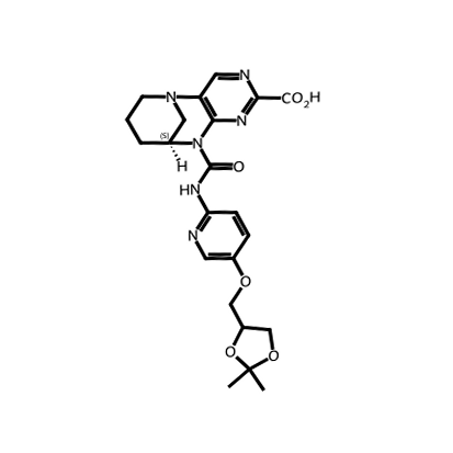 CC1(C)OCC(COc2ccc(NC(=O)N3c4nc(C(=O)O)ncc4N4CCC[C@H]3C4)nc2)O1